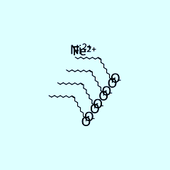 CCCCCCCC/C=C\CCCCCCCC(=O)[O-].CCCCCCCC/C=C\CCCCCCCC(=O)[O-].CCCCCCCC/C=C\CCCCCCCC(=O)[O-].CCCCCCCC/C=C\CCCCCCCC(=O)[O-].[Fe+2].[Ni+2]